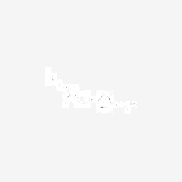 CCOC(=O)c1ccc(N2CCN(C(=O)NCCN(C)C)CC2)cc1